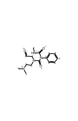 CNC(=O)N(C(=O)N(C[C]=O)CCN(C)C)c1ccccc1